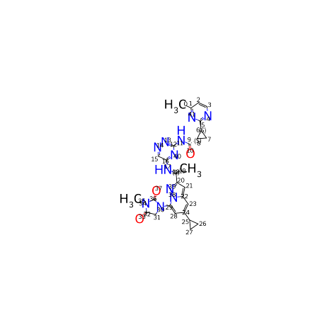 Cc1ccnc([C@H]2C[C@@H]2C(=O)Nc2nncc(N[C@@H](C)c3cc4cc(C5CC5)cc(N5CC(=O)N(C)C5=O)n4n3)n2)n1